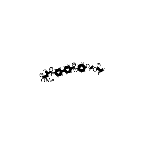 C=C(F)C(=O)OCCOc1ccc(OC(=O)c2ccc(-c3ccc(OC(=O)C(=C)CC(=O)OC)cc3)cc2)cc1